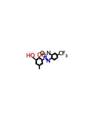 Cc1cc(CO)c(O)c(N=Nc2ccc(C(F)(F)F)cc2[N+](=O)[O-])c1